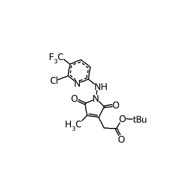 CC1=C(CC(=O)OC(C)(C)C)C(=O)N(Nc2ccc(C(F)(F)F)c(Cl)n2)C1=O